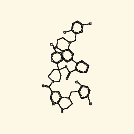 O=C(OC1(c2ccc(Cl)cc2)CCN(C(=O)c2cnc3c(c2)N(Cc2cc(Cl)ccc2Cl)CCN3)CC1)c1ccccc1-c1cnc2c(c1)N(Cc1cc(Cl)ccc1Cl)CCN2